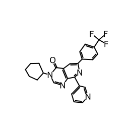 O=c1c2cc(-c3ccc(C(F)(F)F)cc3)nc(-c3cccnc3)c2ncn1C1CCCCC1